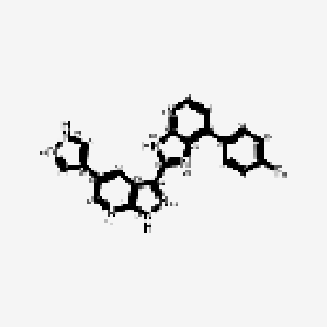 Fc1ccc(-c2ccnc3[nH]c(-c4n[nH]c5ncc(-c6cn[nH]c6)cc45)nc23)cc1